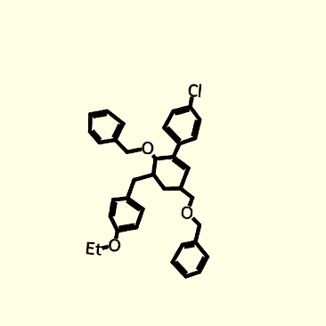 CCOc1ccc(CC2CC(COCc3ccccc3)C=C(c3ccc(Cl)cc3)C2OCc2ccccc2)cc1